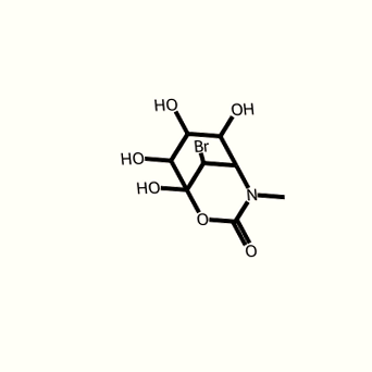 CN1C(=O)OC2(O)C(O)C(O)C(O)C1C2Br